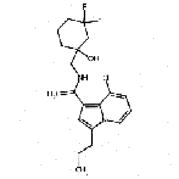 C=C(NCC1(O)CCCC(F)(F)C1)c1cc(CCC)n2cccc(Cl)c12